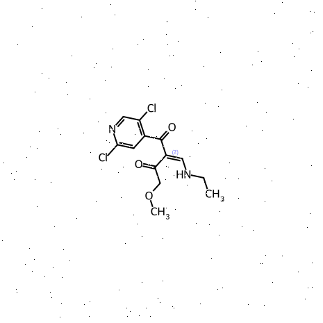 CCN/C=C(\C(=O)COC)C(=O)c1cc(Cl)ncc1Cl